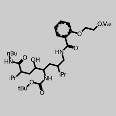 CCCCNC(=O)C(CC(O)C(CC(CNC(=O)c1ccccc1OCCOC)C(C)C)NC(=O)OC(C)(C)C)C(C)C